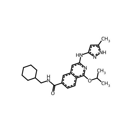 Cc1cc(Nc2cc3cc(C(=O)NCC4CCCCC4)ccc3c(OC(C)C)n2)n[nH]1